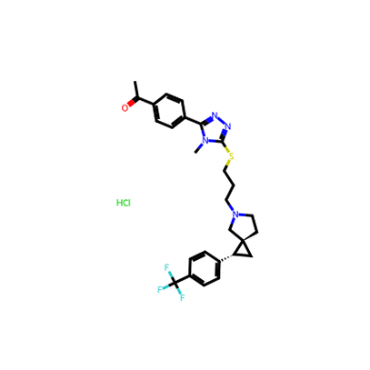 CC(=O)c1ccc(-c2nnc(SCCCN3CC[C@]4(C[C@@H]4c4ccc(C(F)(F)F)cc4)C3)n2C)cc1.Cl